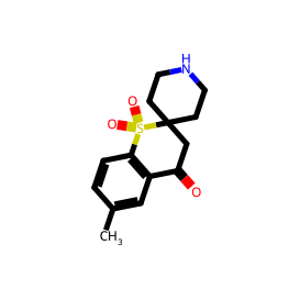 Cc1ccc2c(c1)C(=O)CC1(CCNCC1)S2(=O)=O